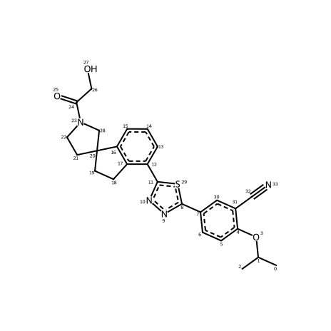 CC(C)Oc1ccc(-c2nnc(-c3cccc4c3CCC43CCN(C(=O)CO)C3)s2)cc1C#N